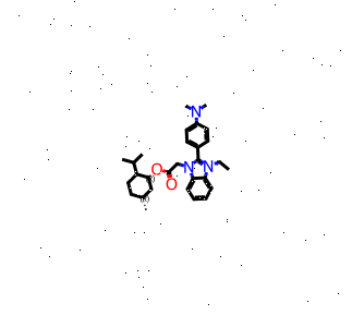 CC[n+]1c(-c2ccc(N(C)C)cc2)n(CC(=O)O[C@@H]2C[C@H](C)CCC2C(C)C)c2ccccc21